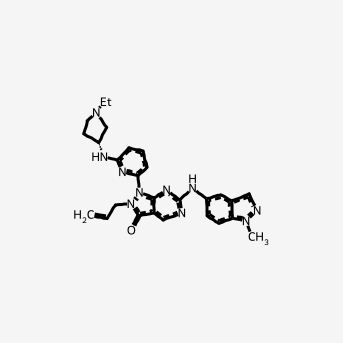 C=CCn1c(=O)c2cnc(Nc3ccc4c(cnn4C)c3)nc2n1-c1cccc(N[C@@H]2CCN(CC)C2)n1